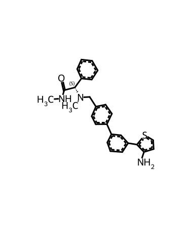 CNC(=O)[C@H](c1ccccc1)N(C)Cc1ccc(-c2cccc(-c3sccc3N)c2)cc1